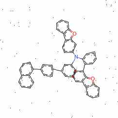 c1cc(-c2ccc(-c3cccc4ccccc34)cc2)cc(N(c2ccc3c(c2)oc2ccccc23)c2ccccc2-c2cccc3c2oc2ccccc23)c1